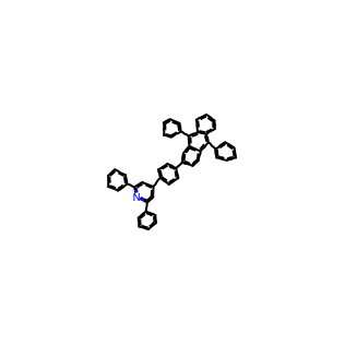 c1ccc(-c2cc(-c3ccc(-c4ccc5c(-c6ccccc6)c6ccccc6c(-c6ccccc6)c5c4)cc3)cc(-c3ccccc3)n2)cc1